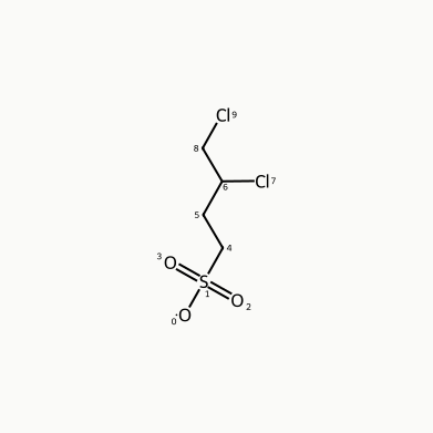 [O]S(=O)(=O)CCC(Cl)CCl